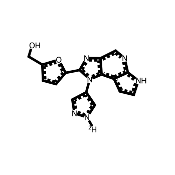 [2H]n1cc(-n2c(-c3ccc(CO)o3)nc3cnc4[nH]ccc4c32)cn1